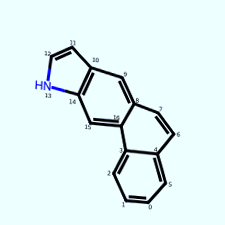 c1ccc2c(c1)ccc1cc3cc[nH]c3cc12